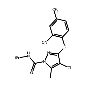 Cc1c(Cl)c(Oc2ccc(C(F)(F)F)cc2N=O)nn1C(=O)NC(C)C